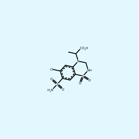 CC(C(=O)O)N1CNS(=O)(=O)c2cc(S(N)(=O)=O)c(Cl)cc21